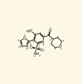 CCCc1cc(C(=O)N2CCOCC2)nc(S(N)(=O)=O)c1-c1nnco1